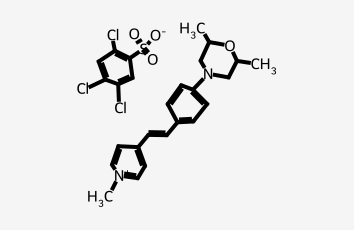 CC1CN(c2ccc(C=Cc3cc[n+](C)cc3)cc2)CC(C)O1.O=S(=O)([O-])c1cc(Cl)c(Cl)cc1Cl